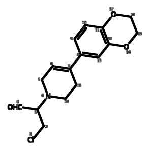 O=CC(CCl)N1CC=C(c2ccc3c(c2)OCCO3)CC1